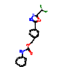 O=C(Nc1ccccc1)OCc1ccc(-c2nnc(C(F)F)o2)cc1